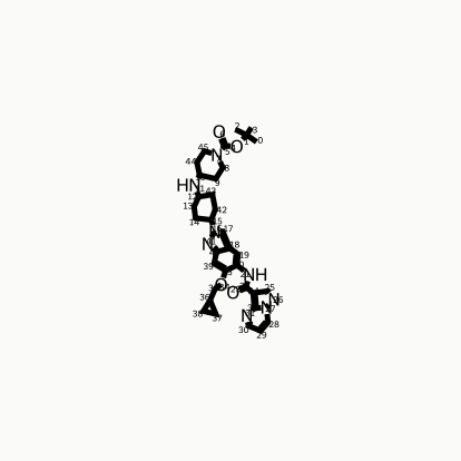 CC(C)(C)OC(=O)N1CCC(NC2CCC(n3cc4cc(NC(=O)c5cnn6cccnc56)c(OCC5CC5)cc4n3)CC2)CC1